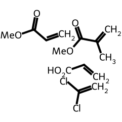 C=C(C)C(=O)OC.C=C(Cl)Cl.C=CC(=O)O.C=CC(=O)OC